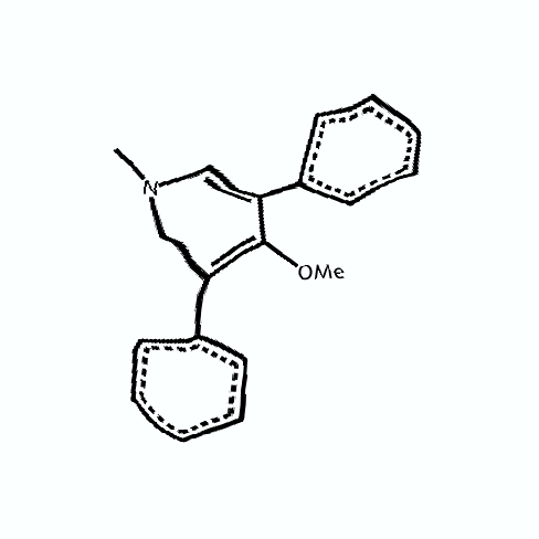 COC1=C(c2ccccc2)CN(C)C=C1c1ccccc1